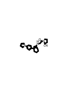 N#C[C@@H]1CCCN1C(=O)CNC1CC2(c3ccc(-n4cccc4)cc3)CCCC1C2